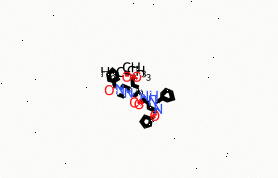 CC(C)(C)OC(=O)CC[C@H](NC(=O)c1cc(OC2CCCC2)nc(-c2ccccc2)n1)C(=O)N1CCN(C(=O)c2ccccc2)CC1